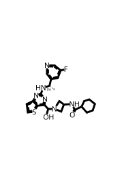 C[C@H](Nc1nc(C(O)N2CC(NC(=O)C3CCCCC3)C2)c2sccc2n1)c1cncc(F)c1